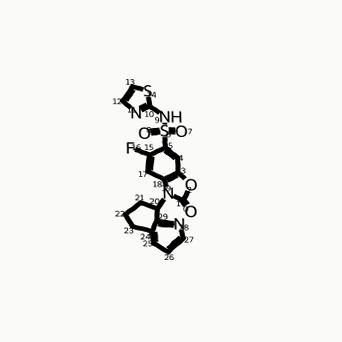 O=c1oc2cc(S(=O)(=O)Nc3nccs3)c(F)cc2n1C1CCCc2cccnc21